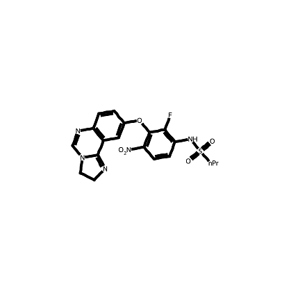 CCCS(=O)(=O)Nc1ccc([N+](=O)[O-])c(Oc2ccc3c(c2)C2=NCCN2C=N3)c1F